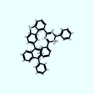 c1ccc(C2=NC(c3cccc4oc5ccc(-c6ccc(-c7ccccc7)c7ccccc67)cc5c34)=NC(c3ccccc3)N2)cc1